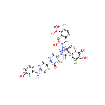 O=C(O)c1c(F)ccc2c1OB(O)[C@@H](NC(=O)C(NC(=O)N1CCN(C3CCN(C(=O)c4cncc(O)c4)CC3)C(=O)C1=O)c1cc(F)c(O)c(O)c1Cl)C2